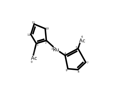 CC(=O)C1=[C]([Ru][C]2=C(C(C)=O)C=CC2)CC=C1